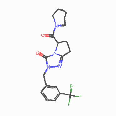 O=C(C1CCc2nn(Cc3cccc(C(F)(F)F)c3)c(=O)n21)N1CCCC1